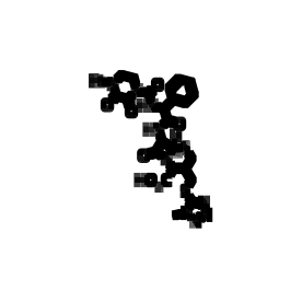 CCN1CCN(C(=O)NC(C(=O)NC2C(=O)N3C(C(=O)O)=C(CSc4nnnn4C)CS[C@H]23)c2ccccc2)C(=O)C1=O